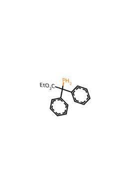 CCOC(=O)C(P)(c1ccccc1)c1ccccc1